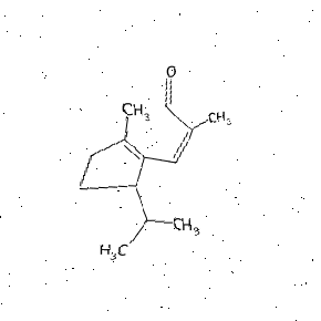 CC(C=O)=CC1=C(C)CCC1C(C)C